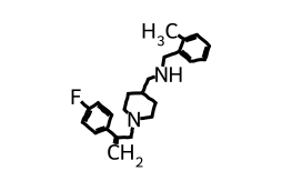 C=C(CN1CCC(CNCc2ccccc2C)CC1)c1ccc(F)cc1